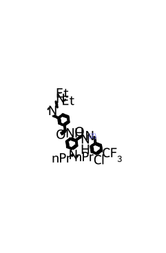 CCCN(CCC)c1ccc(NC(=O)c2cccc(CN(C)CCN(CC)CC)c2)c(C(=O)N/N=C\c2ccc(Cl)c(C(F)(F)F)c2)c1